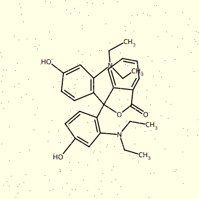 CCN(CC)c1cc(O)ccc1C1(c2ccc(O)cc2N(CC)CC)OC(=O)c2ccccc21